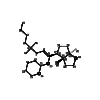 CCCCC(C)(C)CC=C(OC1CCCCO1)[C@H]1CC[C@@]2(C)OCC[C@H]12